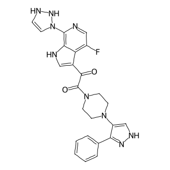 O=C(C(=O)N1CCN(c2c[nH]nc2-c2ccccc2)CC1)c1c[nH]c2c(N3C=CNN3)ncc(F)c12